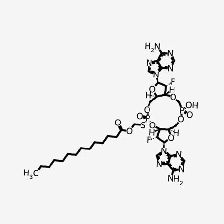 CCCCCCCCCCCCCC(=O)OCSP1(=O)OC[C@H]2O[C@@H](n3cnc4c(N)ncnc43)[C@H](F)[C@@H]2OCP(=O)(O)OC[C@H]2O[C@@H](n3cnc4c(N)ncnc43)[C@H](F)[C@@H]2O1